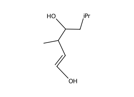 CC(C)CC(O)C(C)C=CO